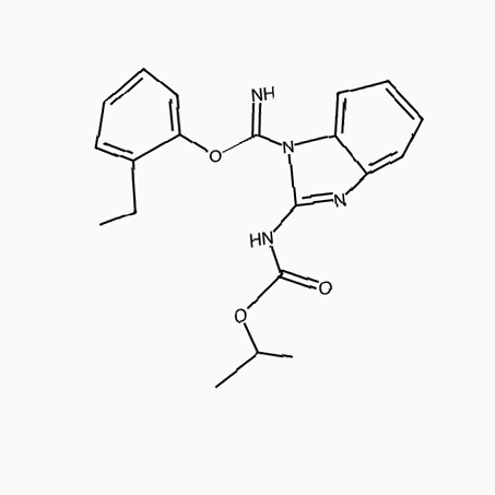 CCc1ccccc1OC(=N)n1c(NC(=O)OC(C)C)nc2ccccc21